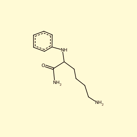 NCCCCC(Nc1ccccc1)C(N)=O